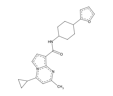 Cc1cc(C2CC2)n2ccc(C(=O)NC3CCC(c4ccco4)CC3)c2n1